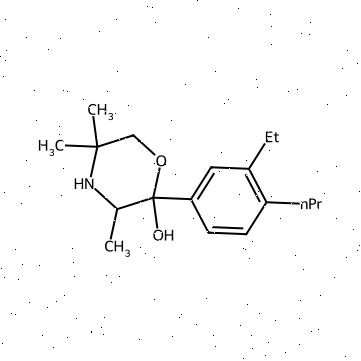 CCCc1ccc(C2(O)OCC(C)(C)NC2C)cc1CC